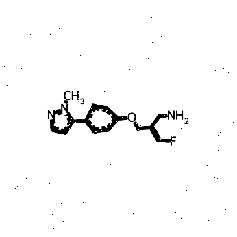 Cn1nccc1-c1ccc(OC/C(=C/F)CN)cc1